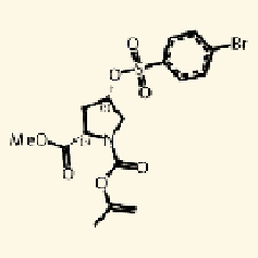 C=C(C)OC(=O)N1C[C@@H](OS(=O)(=O)c2ccc(Br)cc2)C[C@H]1C(=O)OC